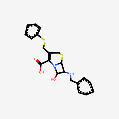 O=C(O)C1=C(CSc2ccccc2)CSC2[C@@H](NCc3ccccc3)C(O)N12